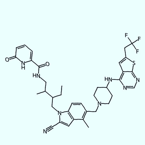 CCC(Cn1c(C#N)cc2c(C)c(CN3CCC(Nc4ncnc5sc(CC(F)(F)F)cc45)CC3)ccc21)C(C)CNC(=O)c1cccc(=O)[nH]1